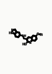 CCOc1ccc2nc(O)c(CNc3ccc4[nH]ncc4c3)cc2c1